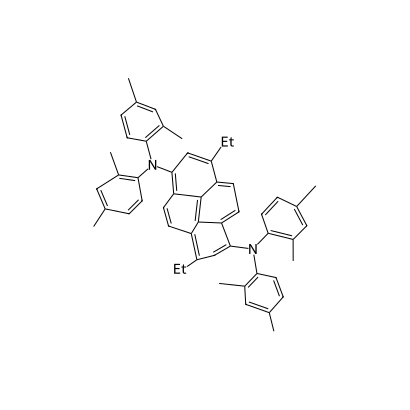 CCc1cc(N(c2ccc(C)cc2C)c2ccc(C)cc2C)c2ccc3c(CC)cc(N(c4ccc(C)cc4C)c4ccc(C)cc4C)c4ccc1c2c34